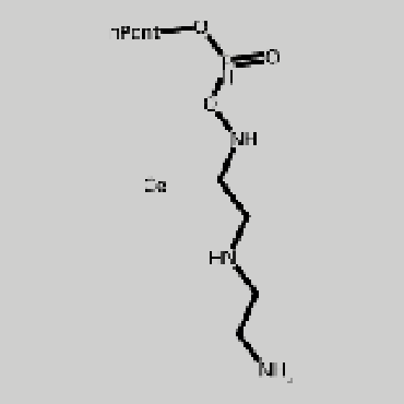 CCCCCO[PH](=O)ONCCNCCN.[Ce]